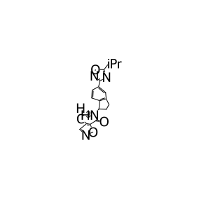 Cc1cnoc1C(=O)N[C@@H]1CCc2cc(-c3noc(C(C)C)n3)ccc21